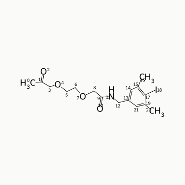 CC(=O)COCCOCC(=O)NCc1cc(C)c(I)c(C)c1